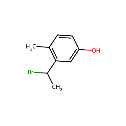 Cc1ccc(O)cc1C(C)Br